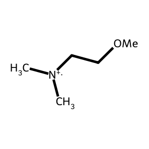 COCC[N+](C)C